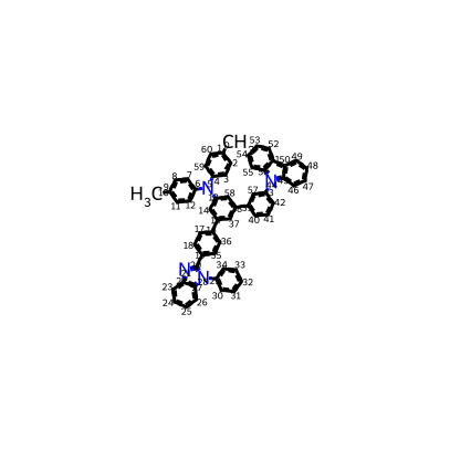 Cc1ccc(N(c2ccc(C)cc2)c2cc(-c3ccc(-c4nc5ccccc5n4-c4ccccc4)cc3)cc(-c3cccc(-n4c5ccccc5c5ccccc54)c3)c2)cc1